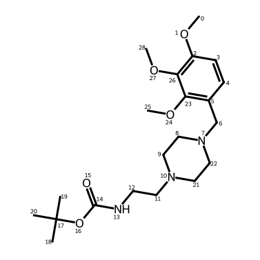 COc1ccc(CN2CCN(CCNC(=O)OC(C)(C)C)CC2)c(OC)c1OC